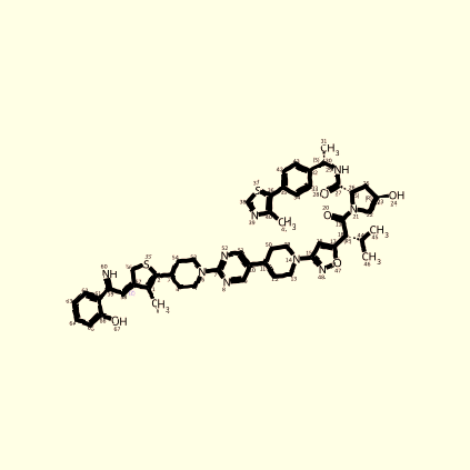 CC1=C(C2CCN(c3ncc(C4CCN(c5cc([C@H](C(=O)N6C[C@H](O)C[C@H]6C(=O)N[C@@H](C)c6ccc(-c7scnc7C)cc6)C(C)C)on5)CC4)cn3)CC2)SC/C1=C\C(=N)c1ccccc1O